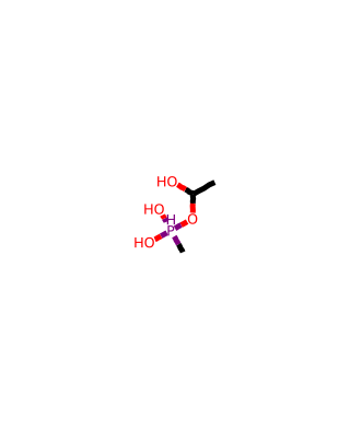 C[C](O)O[PH](C)(O)O